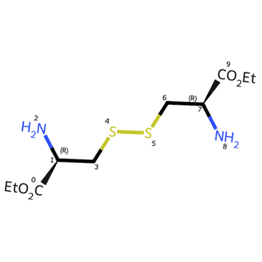 CCOC(=O)[C@@H](N)CSSC[C@H](N)C(=O)OCC